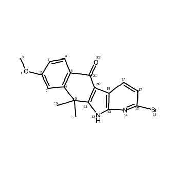 COc1ccc2c(c1)C(C)(C)c1[nH]c3nc(Br)ccc3c1C2=O